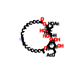 CC(=O)OCC1C[C@H]2OC(C)CCCCCC/C=C\CCCCCCCC(=O)O[C@@H]3C(COC(C)=O)C[C@@H](O[C@H]2C(O)[C@@H]1O)[C@@H](O)C3O